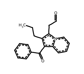 CCCc1c(C(=O)c2ccccc2)c2ccccn2c1CC=O